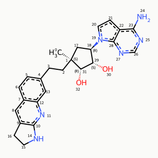 C[C@]1(CCc2ccc3cc4c(nc3c2)NCC4)C[C@@H](n2ccc3c(N)ncnc32)[C@H](O)[C@@H]1O